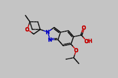 CC(C)Oc1cc2nn(C34COC(C)(C3)C4)cc2cc1C(=O)O